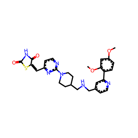 COc1ccc(-c2cc(CNCC3CCN(c4nccc(/C=C5/SC(=O)NC5=O)n4)CC3)ccn2)c(OC)c1